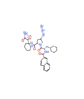 [N-]=[N+]=NC1CC(C(=O)NC2(C(=O)C(N)=O)CCCCC2)N(C(=O)C(CC2CCCCC2)NC(=O)c2ccc3ccccc3c2)C1